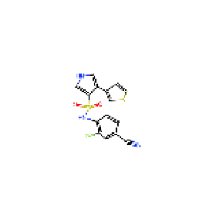 N#Cc1ccc(NS(=O)(=O)c2c[nH]cc2-c2ccsc2)c(F)c1